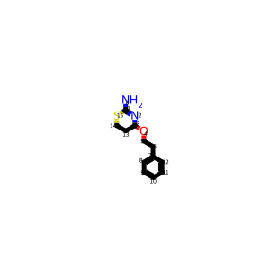 NC1=NC(OCCc2ccccc2)CCS1